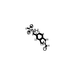 CS(=O)(=O)NCc1ccc2c(c1)CN(C=O)C2